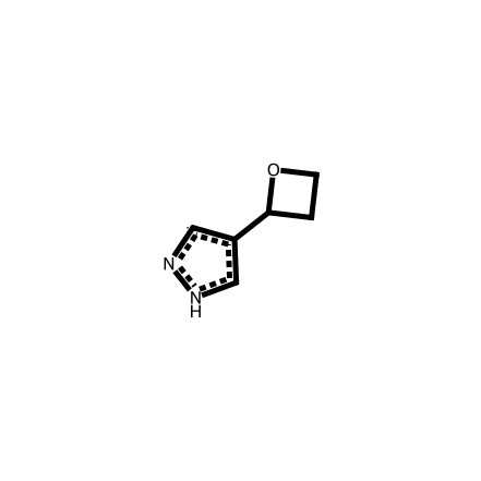 [c]1n[nH]cc1C1CCO1